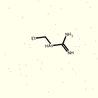 [CH2]CC[AsH]C(=N)N